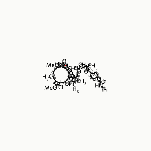 COC1=C(Cl)C2CC(=C1)CC(C)CCC[C@@H](OC)[C@@]1(O)C[C@H](OC(=O)N1)[C@@H](C)[C@@H]1O[C@@]1(C)[C@@H](OC(=O)[C@H](C)N(C)C(=O)CCOC(=O)N(C)CCN(C)C(=O)OC1/C=C/CC(OCC(=O)NCC(C)C)CCC1)CC(O)C2